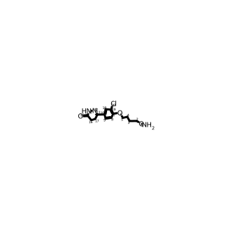 NCCCCCOc1ccc(C2=NNC(=O)CC2)cc1Cl